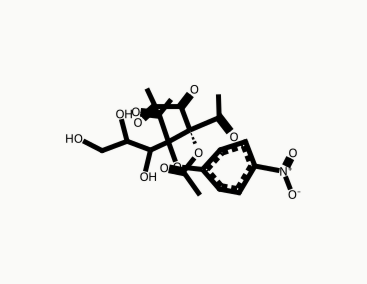 CC(=O)O[C@@](C(C)=O)(C(=O)C(C)=O)C(Oc1ccc([N+](=O)[O-])cc1)(C(C)=O)C(O)C(O)CO